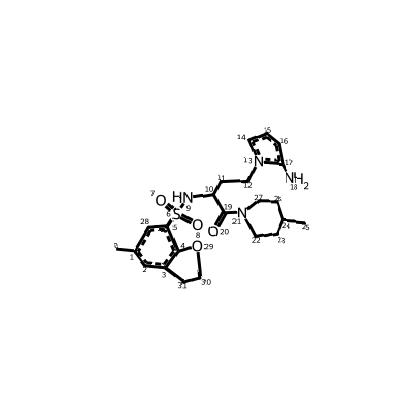 Cc1cc2c(c(S(=O)(=O)NC(CCn3cccc3N)C(=O)N3CCC(C)CC3)c1)OCC2